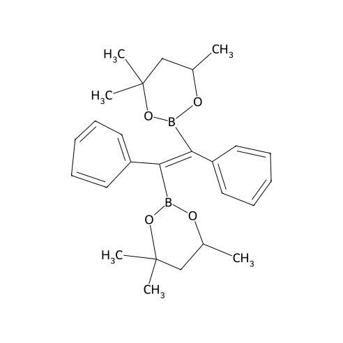 CC1CC(C)(C)OB(C(=C(B2OC(C)CC(C)(C)O2)c2ccccc2)c2ccccc2)O1